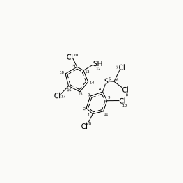 Clc1ccc(SC(Cl)Cl)c(Cl)c1.Sc1ccc(Cl)cc1Cl